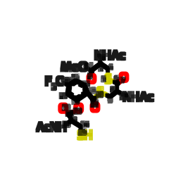 COC(=O)C(CSC(=O)C(CSC(=O)c1ccc(C(F)(F)F)cc1OC(=O)C(CS)NC(C)=O)NC(C)=O)NC(C)=O